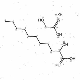 CCCCCCCCCC(O)C(=O)O.O=C(O)CO.[KH]